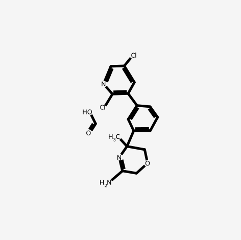 CC1(c2cccc(-c3cc(Cl)cnc3Cl)c2)COCC(N)=N1.O=CO